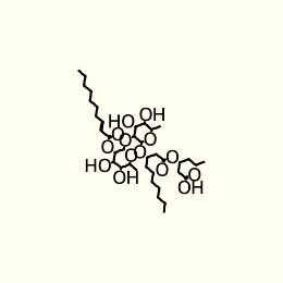 CCCCCCCC=CC(=O)OC1C(OC2C(OC(CCCCCCC)CC(=O)OC(CCC)CC(=O)O)OC(C)C(O)C2O)OC(C)C(O)C1O